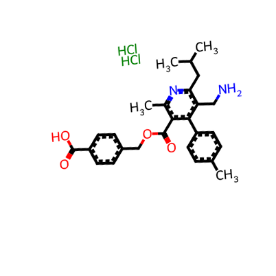 Cc1ccc(-c2c(CN)c(CC(C)C)nc(C)c2C(=O)OCc2ccc(C(=O)O)cc2)cc1.Cl.Cl